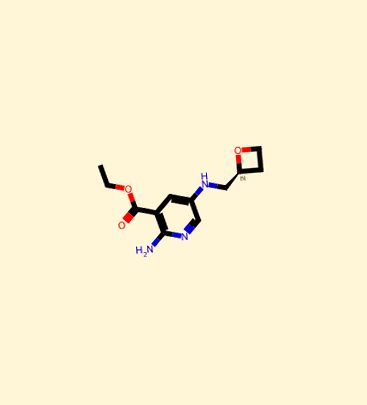 CCOC(=O)c1cc(NC[C@@H]2CCO2)cnc1N